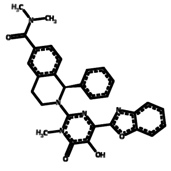 CN(C)C(=O)c1ccc2c(c1)CCN(c1nc(-c3nc4ccccc4o3)c(O)c(=O)n1C)[C@@H]2c1ccccc1